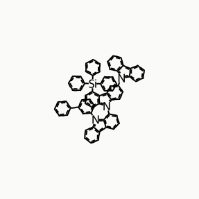 c1ccc(-c2cccc(-n3c4ccccc4c4cccc(-n5c6ccc(-n7c8ccccc8c8ccccc87)cc6c6c([Si](c7ccccc7)(c7ccccc7)c7ccccc7)cccc65)c43)c2)cc1